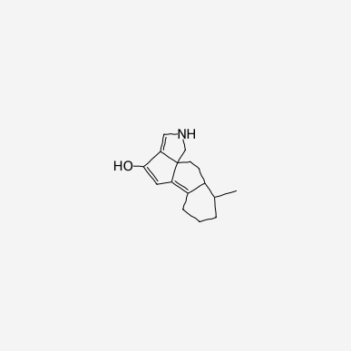 CC1CCCC2=C3C=C(O)C4=CNCC43CCC21